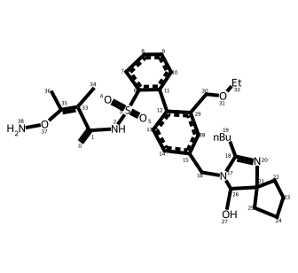 C=C(NS(=O)(=O)c1ccccc1-c1ccc(CN2C(CCCC)=NC3(CCCC3)C2O)cc1COCC)/C(C)=C(/C)ON